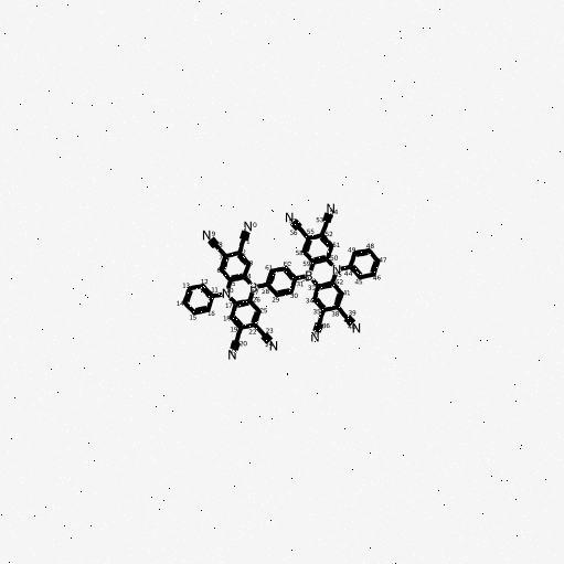 N#Cc1cc2c(cc1C#N)N(c1ccccc1)c1cc(C#N)c(C#N)cc1B2c1ccc(B2c3cc(C#N)c(C#N)cc3N(c3ccccc3)c3cc(C#N)c(C#N)cc32)cc1